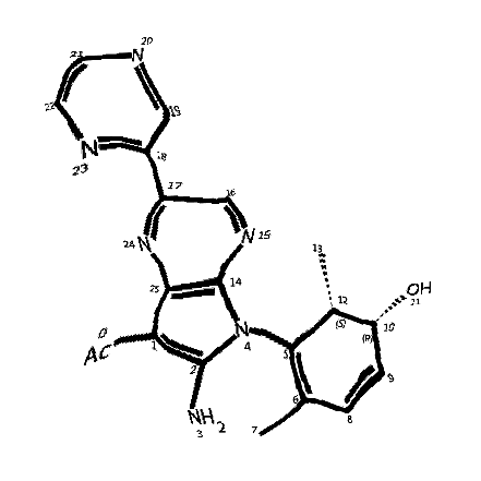 CC(=O)c1c(N)n(C2=C(C)C=C[C@@H](O)[C@H]2C)c2ncc(-c3cnccn3)nc12